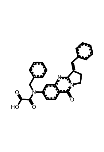 O=C(O)C(=O)N(Cc1ccccc1)c1ccc2c(=O)n3c(nc2c1)C(=Cc1ccccc1)CC3